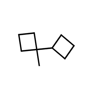 CC1(C2CCC2)CCC1